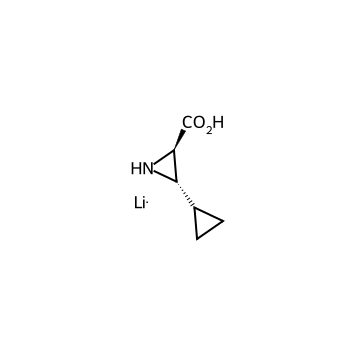 O=C(O)[C@@H]1N[C@H]1C1CC1.[Li]